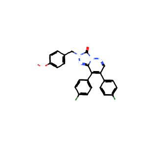 COc1ccc(Cn2nc3c(-c4ccc(Cl)cc4)c(-c4ccc(Cl)cc4)cnn3c2=O)cc1